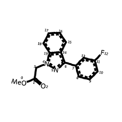 COC(=O)Cn1nc(-c2cccc(F)c2)c2ccccc21